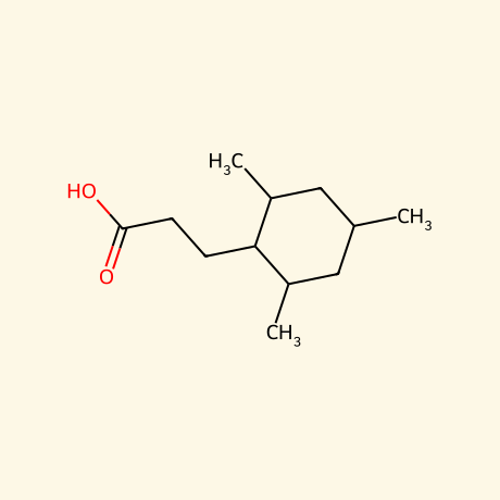 CC1CC(C)C(CCC(=O)O)C(C)C1